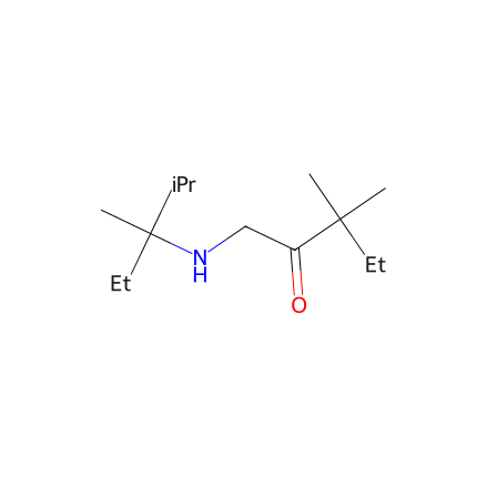 CCC(C)(C)C(=O)CNC(C)(CC)C(C)C